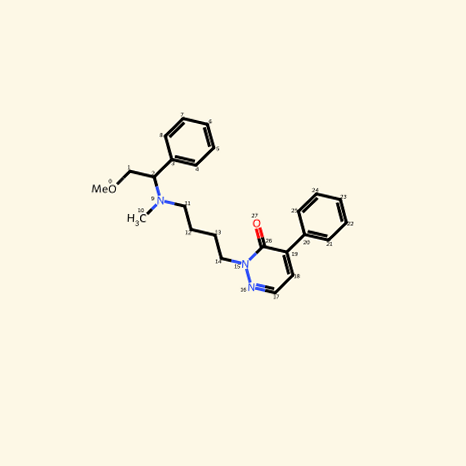 COCC(c1ccccc1)N(C)CCCCn1nccc(-c2ccccc2)c1=O